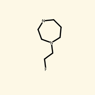 FCCN1CCC[N]CC1